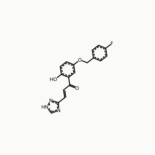 O=C(C=Cc1nc[nH]n1)c1cc(OCc2ccc(F)cc2)ccc1O